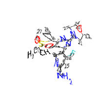 CC(C)S(=O)(=O)C1(c2cc(-c3cnc(N)cc3F)nc(N3CCOCC3)n2)CC1